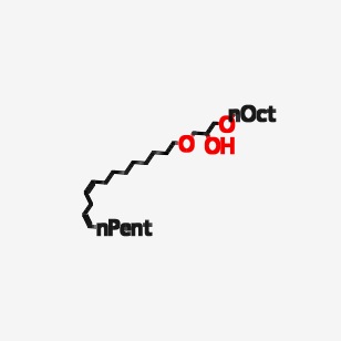 CCCCC/C=C\C/C=C\CCCCCCCCOC[C@H](O)COCCCCCCCC